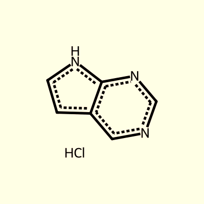 Cl.c1ncc2cc[nH]c2n1